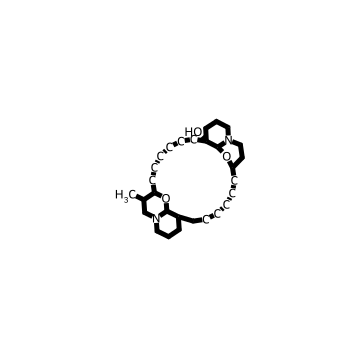 CC1CN2CCCC3CCCCCCC4CCN5CCCC(O)(CCCCCCC1OC32)C5O4